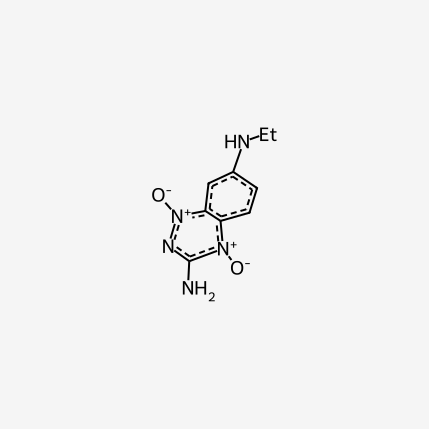 CCNc1ccc2c(c1)[n+]([O-])nc(N)[n+]2[O-]